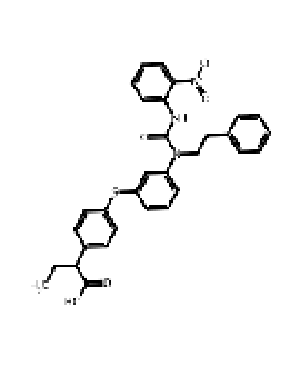 CCC(C(=O)O)c1ccc(Sc2cccc(N(CCc3ccccc3)C(=O)Nc3ccccc3[N+](=O)[O-])c2)cc1